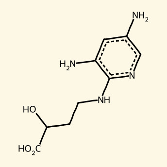 Nc1cnc(NCCC(O)C(=O)O)c(N)c1